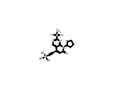 CC(C)[Si](C#Cc1cc(=O)n(C2CCCC2)c2nc(S(C)(=O)=O)ncc12)(C(C)C)C(C)C